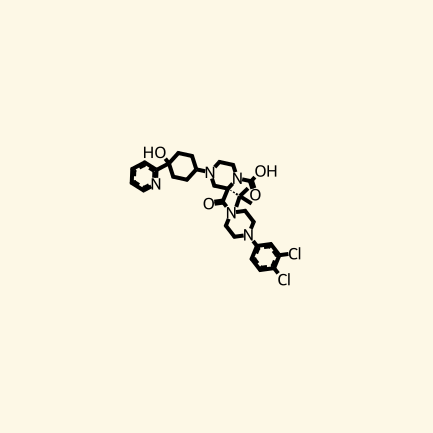 CC(C)(C)[C@]1(C(=O)N2CCN(c3ccc(Cl)c(Cl)c3)CC2)CN(C2CCC(O)(c3ccccn3)CC2)CCN1C(=O)O